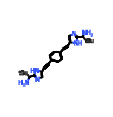 CC(C)(C)C(N)c1ncc(C#Cc2ccc(C#Cc3cnc([C@@H](N)C(C)(C)C)[nH]3)cc2)[nH]1